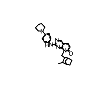 CC1C2CCC(C2)C1Cn1c(=O)ccc2cnc(Nc3ccc(N4CCCCC4)cc3)nc21